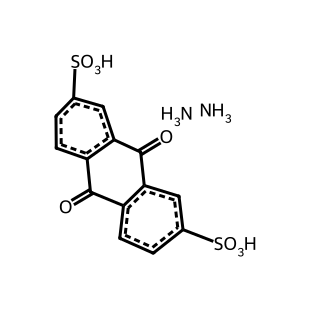 N.N.O=C1c2ccc(S(=O)(=O)O)cc2C(=O)c2cc(S(=O)(=O)O)ccc21